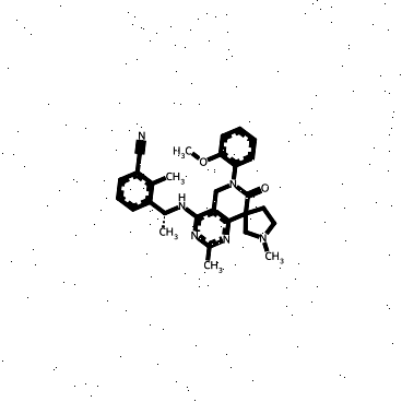 COc1ccccc1N1Cc2c(N[C@H](C)c3cccc(C#N)c3C)nc(C)nc2C2(CCN(C)C2)C1=O